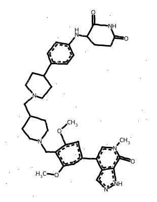 COc1cc(-c2cn(C)c(=O)c3[nH]ncc23)cc(OC)c1CN1CCC(CN2CCC(c3ccc(NC4CCC(=O)NC4=O)cc3)CC2)CC1